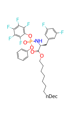 CCCCCCCCCCCCCCCCCOC(=O)[C@H](Cc1cc(F)cc(F)c1)N[P@](=O)(Oc1ccccc1)Oc1c(F)c(F)c(F)c(F)c1F